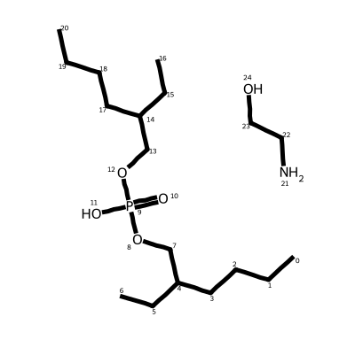 CCCCC(CC)COP(=O)(O)OCC(CC)CCCC.NCCO